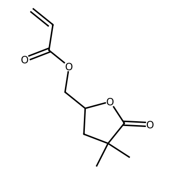 C=CC(=O)OCC1CC(C)(C)C(=O)O1